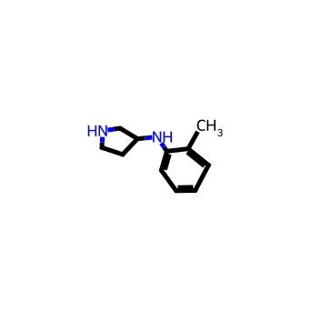 Cc1ccccc1NC1CCNC1